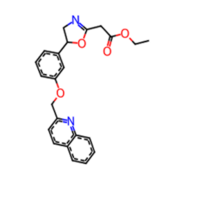 CCOC(=O)CC1=NCC(c2cccc(OCc3ccc4ccccc4n3)c2)O1